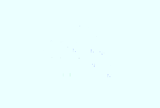 CC1c2nc(CN(C)C)nn2-c2ccccc2N1c1ccccc1.Cl